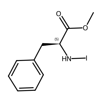 COC(=O)[C@H](Cc1ccccc1)NI